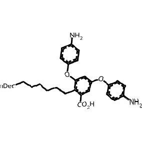 CCCCCCCCCCCCCCCCc1c(Oc2ccc(N)cc2)cc(Oc2ccc(N)cc2)cc1C(=O)O